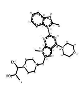 CCC(C(O)I)N1CCN(Cc2nc3c(N4CCOCC4)nc(-n4c(C)nc5ccccc54)nc3n2C)CC1